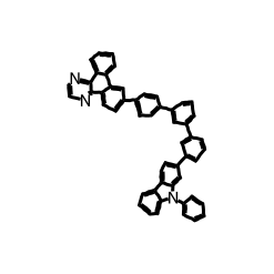 c1ccc(-n2c3ccccc3c3ccc(-c4cccc(-c5cccc(-c6ccc(-c7ccc8c(c7)c7ccccc7c7nccnc87)cc6)c5)c4)cc32)cc1